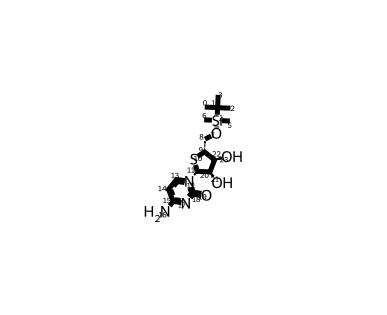 CC(C)(C)[Si](C)(C)OC[C@H]1S[C@@H](n2ccc(N)nc2=O)[C@H](O)[C@@H]1O